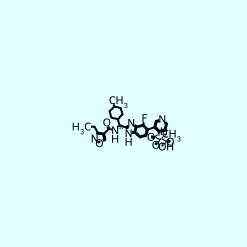 CCc1nocc1C(=O)N[C@H](c1nc2c(F)c(-c3cnccc3S(=O)(=O)[SH](C)(=O)O)ccc2[nH]1)C1CCC(C)CC1